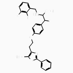 Cc1oc(-c2ccccc2)nc1CCOc1ccc(C(C)C(NCc2cccc(F)c2F)C(=O)O)cc1